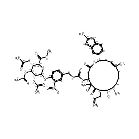 C=CC[C@H]1C(=O)C(C)(C)[C@@H](OC(=O)OCc2ccc(O[C@@H]3O[C@H](C(=O)OC)[C@@H](OC(C)=O)[C@H](OC(C)=O)[C@H]3OC(C)=O)c([N+](=O)[O-])c2)CC(=O)O[C@H](c2ccc3sc(C)nc3c2)CC=C(C)CCC[C@H](C)[C@@H]1O